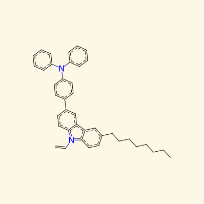 C=Cn1c2ccc(CCCCCCCC)cc2c2cc(-c3ccc(N(c4ccccc4)c4ccccc4)cc3)ccc21